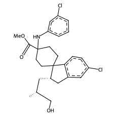 COC(=O)C1(Nc2cccc(Cl)c2)CCC2(CC1)c1ccc(Cl)cc1C[C@@H]2C[C@@H](C)CO